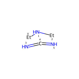 CCNCC.N=C=N